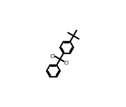 CC(C)(C)c1ccc(C(Cl)(Cl)c2ccccc2)cc1